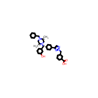 C[C@@H]1CN([C@H](c2ccc(-c3cnn(Cc4cccc(C(=O)O)c4)n3)cc2)c2cccc(O)c2)[C@@H](C)CN1Cc1ccccc1